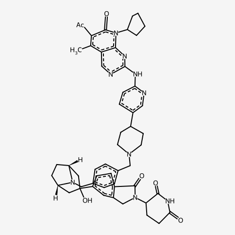 CC(=O)c1c(C)c2cnc(Nc3ccc(C4CCN(Cc5ccc(CN6[C@@H]7CC[C@H]6CC(O)(c6ccc8c(c6)CN(C6CCC(=O)NC6=O)C8=O)C7)cc5)CC4)cn3)nc2n(C2CCCC2)c1=O